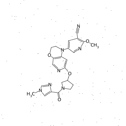 COc1ncc(N2CCOc3cnc(OC4CCN(C(=O)c5cn(C)cn5)C4)cc32)cc1C#N